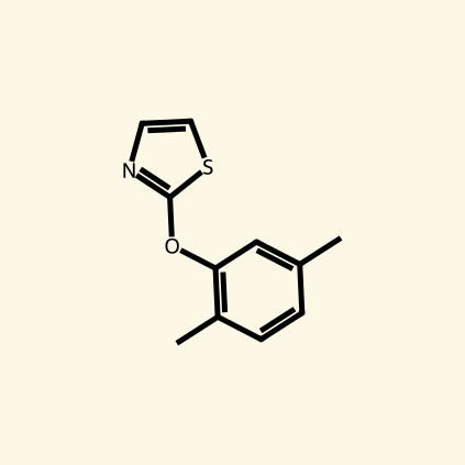 Cc1ccc(C)c(Oc2nccs2)c1